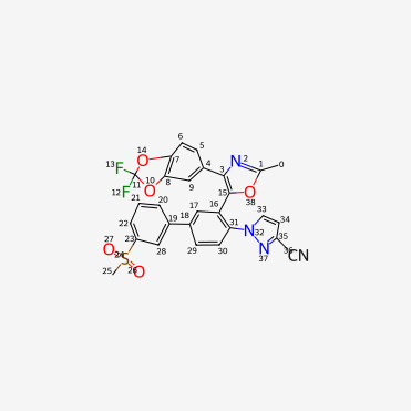 Cc1nc(-c2ccc3c(c2)OC(F)(F)O3)c(-c2cc(-c3cccc(S(C)(=O)=O)c3)ccc2-n2ccc(C#N)n2)o1